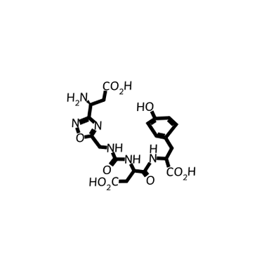 N[C@@H](CC(=O)O)c1noc(CNC(=O)NC(CC(=O)O)C(=O)NC(Cc2ccc(O)cc2)C(=O)O)n1